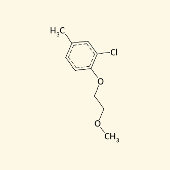 COCCOc1ccc(C)cc1Cl